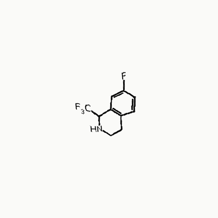 Fc1ccc2c(c1)C(C(F)(F)F)NCC2